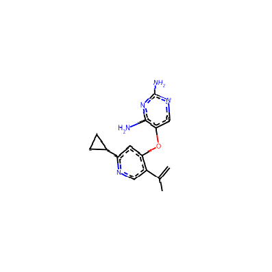 C=C(C)c1cnc(C2CC2)cc1Oc1cnc(N)nc1N